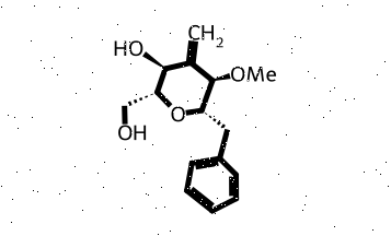 C=C1[C@@H](OC)[C@H](Cc2ccccc2)O[C@H](CO)[C@H]1O